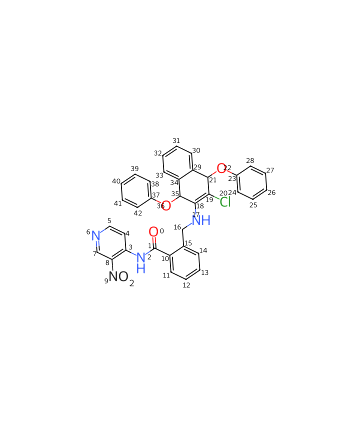 O=C(Nc1ccncc1[N+](=O)[O-])c1ccccc1CNC1=C(Cl)C(Oc2ccccc2)c2ccccc2C1Oc1ccccc1